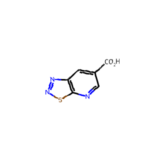 O=C(O)c1cnc2snnc2c1